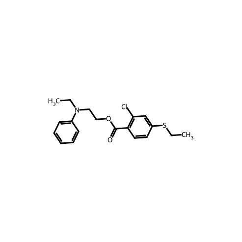 CCSc1ccc(C(=O)OCCN(CC)c2ccccc2)c(Cl)c1